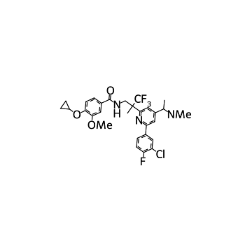 CNC(C)c1cc(-c2ccc(F)c(Cl)c2)nc(C(C)(CNC(=O)c2ccc(OC3CC3)c(OC)c2)C(F)(F)F)c1